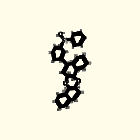 [O-][S+](c1ccccc1)c1cccc(-c2cc3c(c4ccccc24)Oc2ccc4ccccc4c2O3)c1